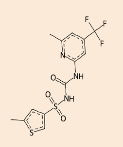 Cc1cc(C(F)(F)F)cc(NC(=O)NS(=O)(=O)c2csc(C)c2)n1